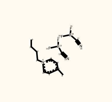 CCCC[n+]1ccc(C)cc1.N#CB(F)F.N#CB(F)F